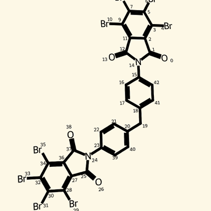 O=C1c2c(Br)c(Br)c(Br)c(Br)c2C(=O)N1c1ccc(Cc2ccc(N3C(=O)c4c(Br)c(Br)c(Br)c(Br)c4C3=O)cc2)cc1